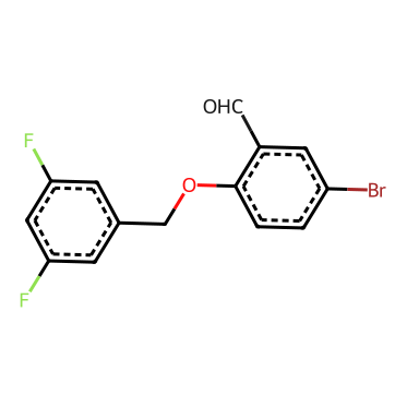 O=Cc1cc(Br)ccc1OCc1cc(F)cc(F)c1